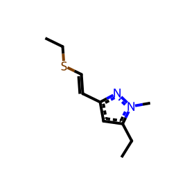 CCSC=Cc1cc(CC)n(C)n1